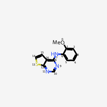 COc1ccccc1Nc1ncnc2sccc12